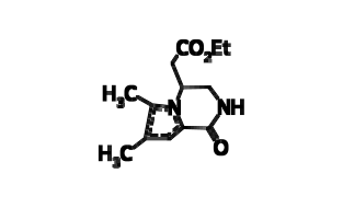 CCOC(=O)CC1CNC(=O)c2cc(C)c(C)n21